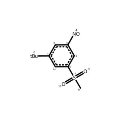 CC(C)(C)c1cc(N=O)cc(S(C)(=O)=O)c1